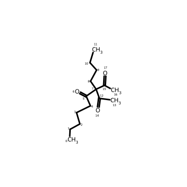 CCCCCC(=O)C(CCCC)(C(C)=O)C(C)=O